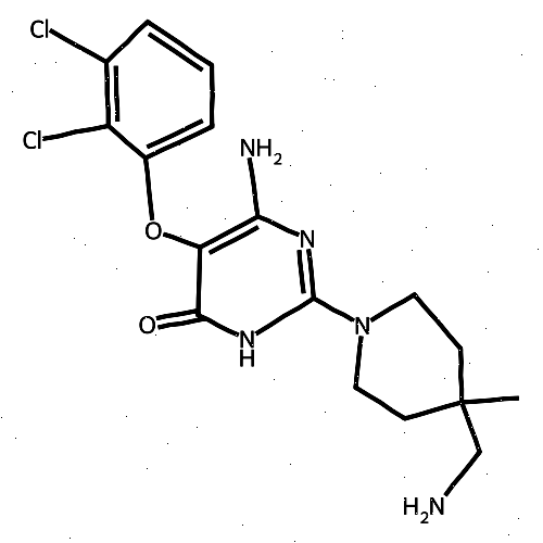 CC1(CN)CCN(c2nc(N)c(Oc3cccc(Cl)c3Cl)c(=O)[nH]2)CC1